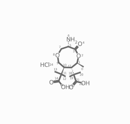 C[C@@H]1OC(=O)[C@@H](N)COC[C@H](C(C)(C)C(=O)O)[C@H]1C(C)(C)C(=O)O.Cl